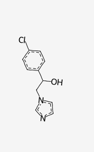 OC(Cn1ccnc1)c1ccc(Cl)cc1